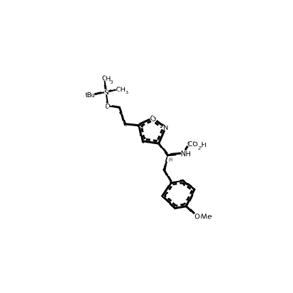 COc1ccc(C[C@H](NC(=O)O)c2cc(CCO[Si](C)(C)C(C)(C)C)on2)cc1